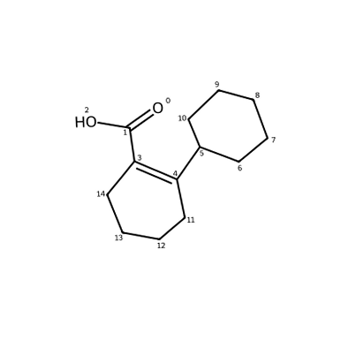 O=C(O)C1=C(C2CCCCC2)CCCC1